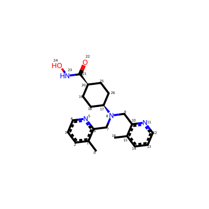 Cc1cccnc1CN(Cc1ncccc1C)[C@H]1CC[C@@H](C(=O)NO)CC1